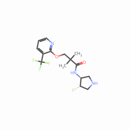 CC(C)(COc1ncccc1C(F)(F)F)C(=O)N[C@H]1CNC[C@@H]1F